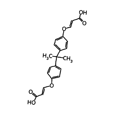 CC(C)(c1ccc(OC=CC(=O)O)cc1)c1ccc(OC=CC(=O)O)cc1